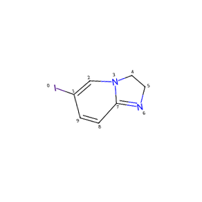 IC1=CN2CCN=C2C=C1